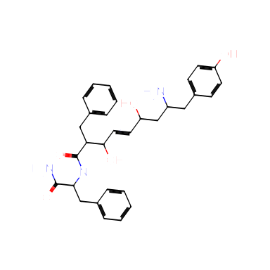 NC(=O)C(Cc1ccccc1)NC(=O)C(Cc1ccccc1)C(O)/C=C/C(O)CC(N)Cc1ccc(O)cc1